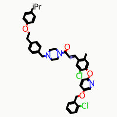 Cc1cc(Oc2ccc(OCc3ccccc3Cl)cn2)c(Cl)cc1/C=C/C(=O)N1CCN(Cc2ccc(CCOc3ccc(C(C)C)cc3)cc2)CC1